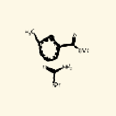 CCCC(N)=O.COC(=O)c1cccc(C)c1